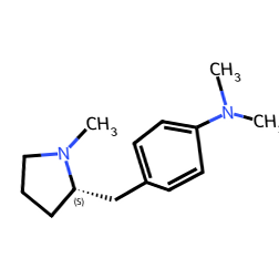 CN(C)c1ccc(C[C@@H]2CCCN2C)cc1